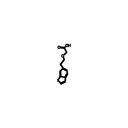 O=C(O)COCCc1ccc2ccsc2c1